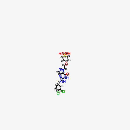 O=c1[nH]c(NCc2ccc(Cl)c(Cl)c2)nc2cnn(CCOC3CCS(O)(O)CC3)c12